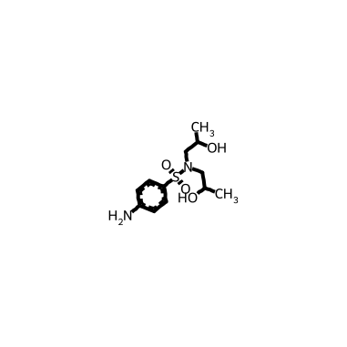 CC(O)CN(CC(C)O)S(=O)(=O)c1ccc(N)cc1